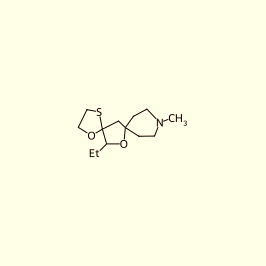 CCC1OC2(CCN(C)CC2)CC12OCCS2